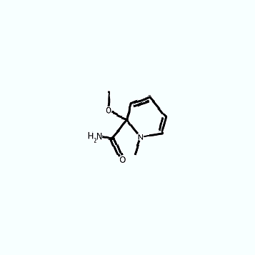 COC1(C(N)=O)C=CC=CN1C